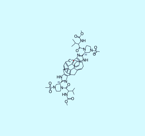 COC(=O)NC(C(=O)N1CCN(S(C)(=O)=O)C[C@H]1c1nc2cc(C3=CC4=CCC=C3CCc3ccc(c(-c5ccc6[nH]c([C@@H]7CN(S(C)(=O)=O)CCN7C(=O)C(NC(=O)OC)C(C)C)nc6c5)c3)CC4)ccc2[nH]1)C(C)C